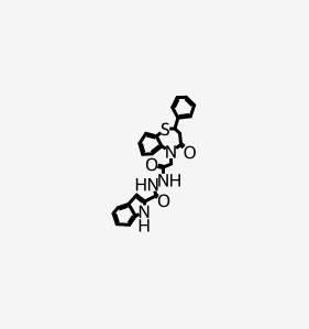 O=C(CN1C(=O)CC(c2ccccc2)Sc2ccccc21)NNC(=O)c1cc2ccccc2[nH]1